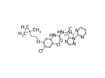 C[C@H](NC(=O)Nc1cc(OCCC(C)(C)C)c(Cl)cc1Cl)c1ncnn1-c1ncccn1